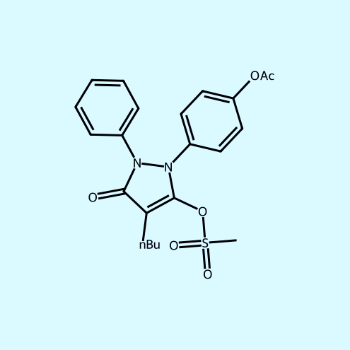 CCCCc1c(OS(C)(=O)=O)n(-c2ccc(OC(C)=O)cc2)n(-c2ccccc2)c1=O